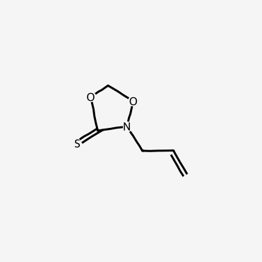 C=CCN1OCOC1=S